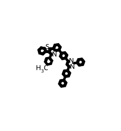 CC1C=CC(c2nc3c(-c4ccc(-c5cc(-c6ccc(-c7ccccc7)cc6)nc(-c6ccccc6)n5)cc4)cccc3c3sc4ccccc4c23)=CC1